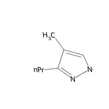 CCCC1=N[N]C=C1C